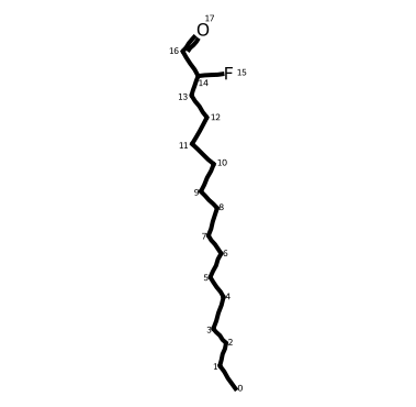 CCCCCCCCCCCCCCC(F)C=O